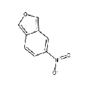 O=[N+]([O-])c1ccc2[c]occ2c1